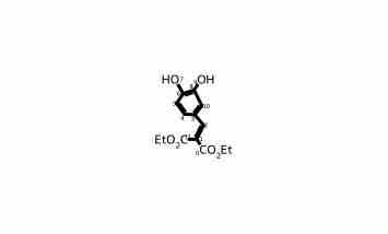 CCOC(=O)C(=Cc1ccc(O)c(O)c1)C(=O)OCC